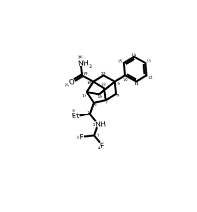 CC[C@H](NC(F)F)C1C2CC3(c4ccccc4)CC1C(C(N)=O)(C2)C3